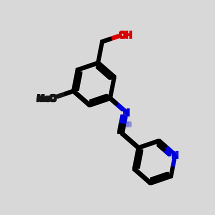 COc1cc(CO)cc(/N=C/c2cccnc2)c1